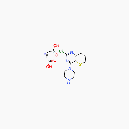 Clc1nc2c(c(N3CCNCC3)n1)SCCC2.O=C(O)/C=C\C(=O)O